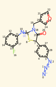 [N-]=[N+]=Nc1ccc(C2S/C(=N\c3cccc(F)c3)N(Cc3ccoc3)C2=O)cc1